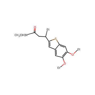 CCOc1cc2cc(C(CC)CC(=O)N(C)O)sc2cc1OCC